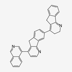 c1ccc2c(c1)CC1=C(c3ccc4c(c3)-c3nccc(-c5cncc6ccccc56)c3C4)CCN=C12